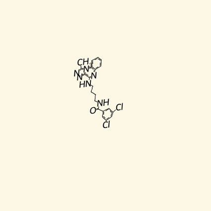 Cc1nnc2c(NCCCCNC(=O)c3cc(Cl)cc(Cl)c3)nc3ccccc3n12